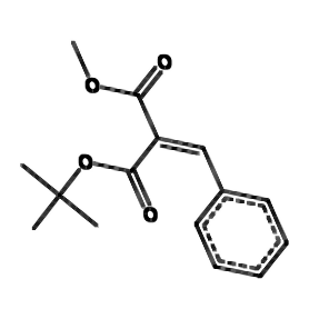 COC(=O)/C(=C/c1ccccc1)C(=O)OC(C)(C)C